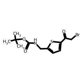 CC(C)(C)OC(=O)NCc1ccc(C(=O)CBr)s1